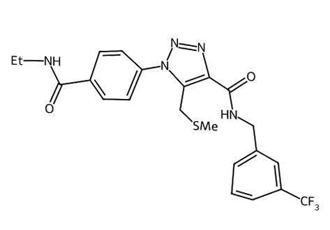 CCNC(=O)c1ccc(-n2nnc(C(=O)NCc3cccc(C(F)(F)F)c3)c2CSC)cc1